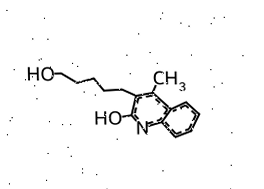 Cc1c(CCCCCO)c(O)nc2ccccc12